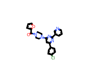 O=C(c1ccco1)N1CCN(c2cc(-c3ccc(Cl)cc3)nc(-c3cccnc3)n2)CC1